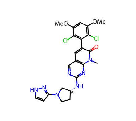 COc1cc(OC)c(Cl)c(-c2cc3cnc(N[C@@H]4CCN(c5cc[nH]n5)C4)nc3n(C)c2=O)c1Cl